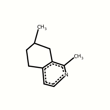 Cc1nccc2c1CC(C)CC2